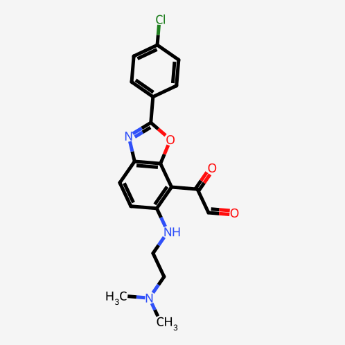 CN(C)CCNc1ccc2nc(-c3ccc(Cl)cc3)oc2c1C(=O)C=O